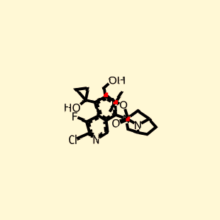 CC(C)(C)OC(=O)N1C2CCC1CN(c1nc(CO)c(C3(O)CC3)c3c(F)c(Cl)ncc13)C2